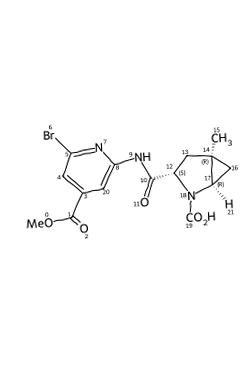 COC(=O)c1cc(Br)nc(NC(=O)[C@@H]2C[C@@]3(C)C[C@H]3N2C(=O)O)c1